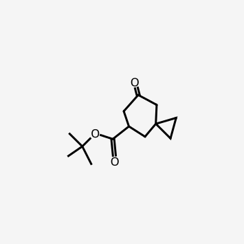 CC(C)(C)OC(=O)C1CC(=O)CC2(CC2)C1